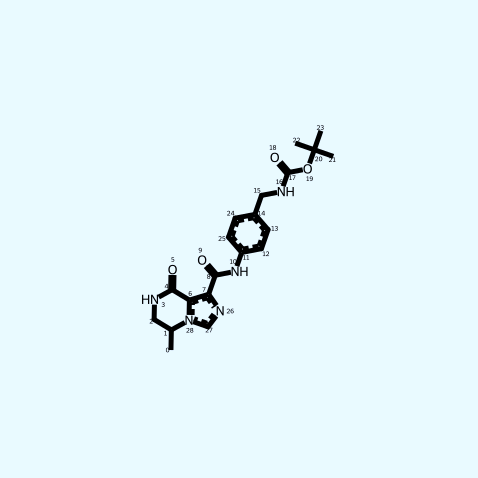 CC1CNC(=O)c2c(C(=O)Nc3ccc(CNC(=O)OC(C)(C)C)cc3)ncn21